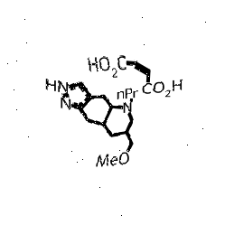 CCCN1CC(COC)CC2Cc3n[nH]cc3CC21.O=C(O)/C=C\C(=O)O